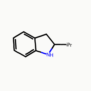 CC(C)C1Cc2ccccc2N1